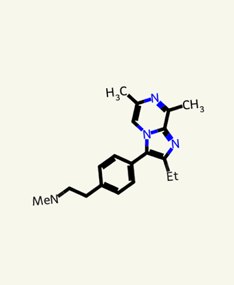 CCc1nc2c(C)nc(C)cn2c1-c1ccc(CCNC)cc1